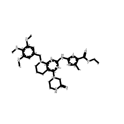 CCOC(=O)c1sc(Nc2nc(N3CCNC(=O)C3)c3c(n2)N(Cc2cc(OC)c(OC)c(OC)c2)CCC3)nc1C